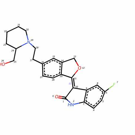 O=C1Nc2ccc(F)cc2/C1=C1\OCc2cc(CCN3CCCCC3CO)ccc21